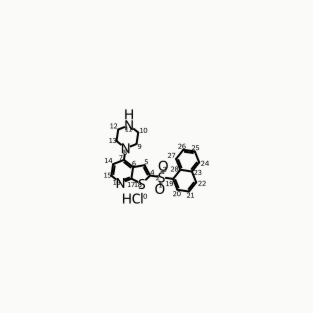 Cl.O=S(=O)(c1cc2c(N3CCNCC3)ccnc2s1)c1cccc2ccccc12